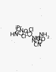 CC(C)c1c[nH]c2ccc(Oc3c(Cl)cc(NN=C(C#N)C(=O)OC(N)=O)cc3Cl)nc12